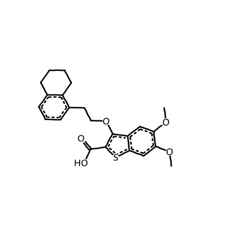 COc1cc2sc(C(=O)O)c(OCCc3cccc4c3CCCC4)c2cc1OC